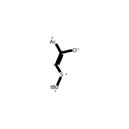 CC(=O)C(Cl)=CSC(C)(C)C